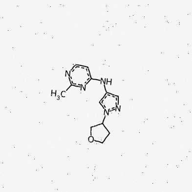 Cc1n[c]cc(Nc2cnn(C3CCOC3)c2)n1